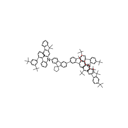 CC(C)(C)c1cc(-c2ccccc2-c2ccccc2N(c2ccc3c(c2)C(C)(C)c2ccccc2-3)c2ccc3c(c2)C2(CCCC2)c2ccc(-c4ccc5c(c4)-c4ccc(N(c6ccc7c(c6)C(C)(C)c6cc(C(C)(C)C)ccc6-7)c6cc(C(C)(C)C)ccc6-c6cc(C(C)(C)C)ccc6-c6cc(C(C)(C)C)cc(C(C)(C)C)c6)cc4C5(C)C)cc2-3)cc(C(C)(C)C)c1